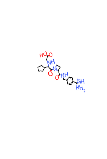 N=C(N)c1ccc(CNC(=O)[C@@H]2CCN2C(=O)[C@H](NCC(=O)O)C2CCCC2)cc1